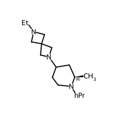 CCCN1CCC(N2CC3(CN(CC)C3)C2)C[C@H]1C